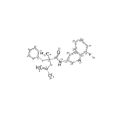 C=C(CC(C)(Cc1ccccc1)C(=O)Nc1cnc2c(F)cccc2c1)C(F)(F)F